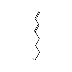 C=C/C=C/CCCC[CH]C